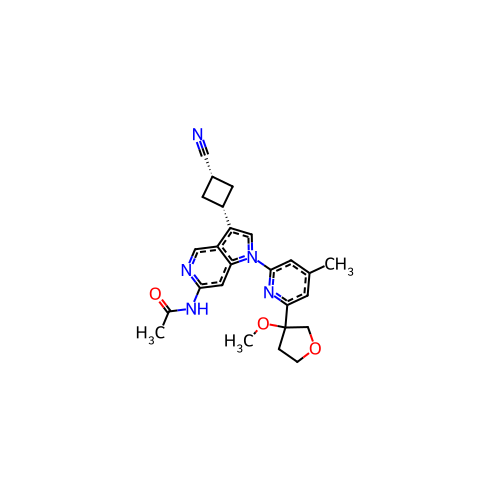 COC1(c2cc(C)cc(-n3cc([C@H]4C[C@@H](C#N)C4)c4cnc(NC(C)=O)cc43)n2)CCOC1